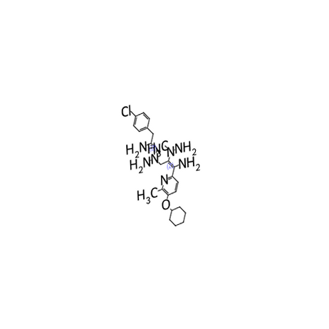 Cc1nc(/C(N)=C(\CN(N)/N=C(\N)Cc2ccc(Cl)cc2)N(C)N)ccc1OC1CCCCC1